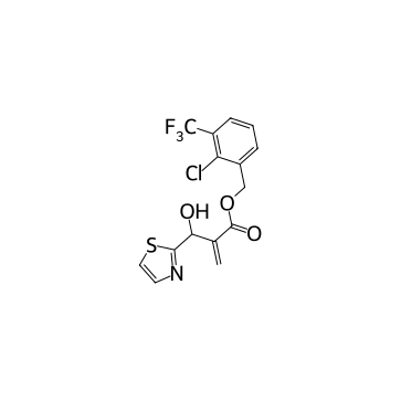 C=C(C(=O)OCc1cccc(C(F)(F)F)c1Cl)C(O)c1nccs1